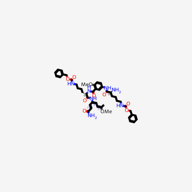 CO/C(C)=C/C=C(\C=C\C(N)=O)NC(=O)[C@H](CCCCNC(=O)OCc1ccccc1)NC(=O)c1cc(NC(=O)[C@@H](N)CCCCNC(=O)OCc2ccccc2)ccc1OC